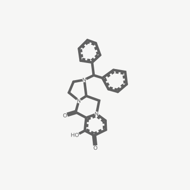 O=C1c2c(O)c(=O)ccn2CC2N1CCN2C(c1ccccc1)c1ccccc1